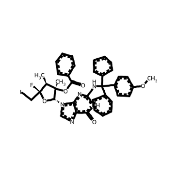 COc1ccc(C(Nc2nc3c(ncn3[C@@H]3O[C@](F)(CI)[C@@H](C)[C@@]3(C)OC(=O)c3ccccc3)c(=O)[nH]2)(c2ccccc2)c2ccccc2)cc1